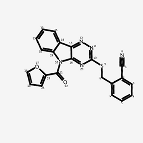 N#Cc1ccccc1CSc1nnc2c3ccccc3n(C(=O)c3ccco3)c2n1